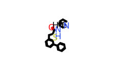 O=C(N[C@H]1CN2CCC1CC2)C1Cc2cccc(-c3ccccc3)c2S1